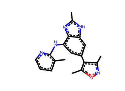 Cc1nc2c(Nc3ncccc3C)cc(-c3c(C)noc3C)cc2[nH]1